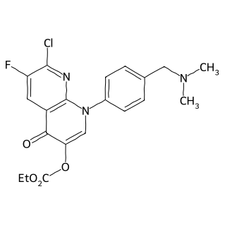 CCOC(=O)Oc1cn(-c2ccc(CN(C)C)cc2)c2nc(Cl)c(F)cc2c1=O